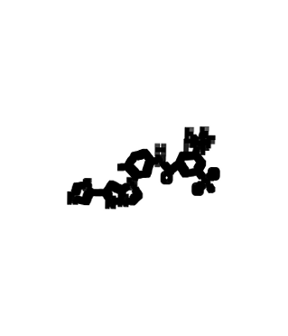 Cc1ccc(NC(=O)c2cc(S(C)(=O)=O)cc(S(F)(F)(F)(F)F)c2)cc1-n1ccn2nc(-c3cncs3)cc12